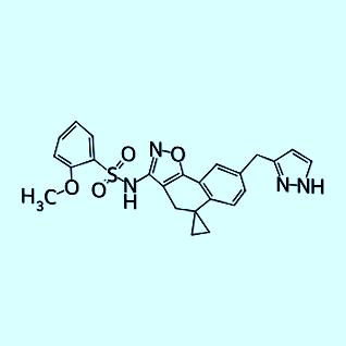 COc1ccccc1S(=O)(=O)Nc1noc2c1CC1(CC1)c1ccc(Cc3cc[nH]n3)cc1-2